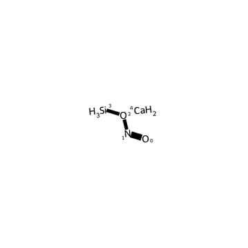 O=NO[SiH3].[CaH2]